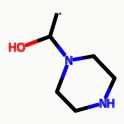 [CH2]C(O)N1CCNCC1